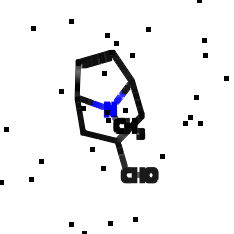 CN1C2C=CC1CC(C=O)C2